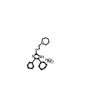 Cl.Cl.c1ccc(-c2nc(SCCN3CCCCC3)[nH]c2-c2ccccc2)cc1